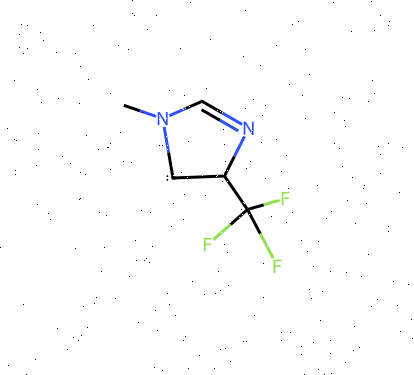 CN1[C]C(C(F)(F)F)N=C1